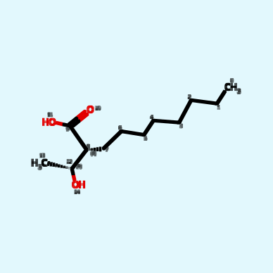 CCCCCCCC[C@@H](C(=O)O)[C@@H](C)O